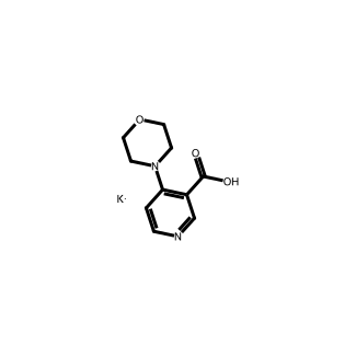 O=C(O)c1cnccc1N1CCOCC1.[K]